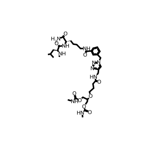 CNC(=O)OCC(COC(=O)NC)OCCCC(=O)NCc1cn(Cc2cccc(C(=O)NCCCC[C@H](NC(=O)[C@H](CC(C)C)NC)C(N)=O)c2)nn1